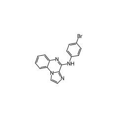 Brc1ccc(Nc2nc3ccccc3n3ccnc23)cc1